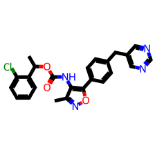 Cc1noc(-c2ccc(Cc3cncnc3)cc2)c1NC(=O)OC(C)c1ccccc1Cl